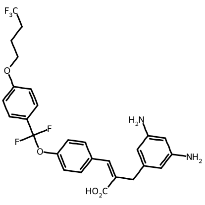 Nc1cc(N)cc(CC(=Cc2ccc(OC(F)(F)c3ccc(OCCCC(F)(F)F)cc3)cc2)C(=O)O)c1